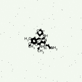 CCNC(=O)c1c(NCCN)nc(NC2CCOCC2)n1Cc1ccc(OC)c(C)c1